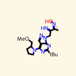 COCC1CCCN1c1nc(C(C)(C)C)nc2c1cnn2CC(=N)/C(C)=N\O